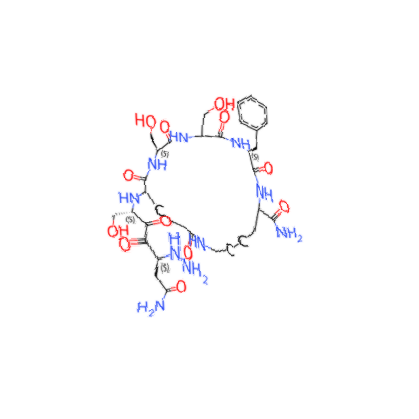 NN[C@@H](CC(N)=O)C(=O)C(=O)[C@H](CO)NC1CCC(=O)NCCCCC(C(N)=O)NC(=O)[C@H](Cc2ccccc2)NC(=O)C(CO)NC(=O)[C@H](CO)NC1=O